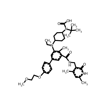 CCN(c1cc(-c2ccc(OCCOC)cc2)cc(C(=O)NCc2c(C)cc(C)[nH]c2=O)c1C)C1CCC(N(C(=O)O)C(C)(C)C)CC1